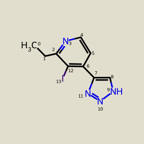 CCc1nccc(-c2c[nH]nn2)c1I